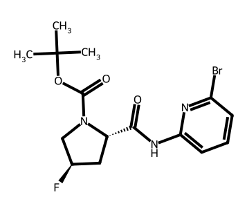 CC(C)(C)OC(=O)N1C[C@H](F)C[C@H]1C(=O)Nc1cccc(Br)n1